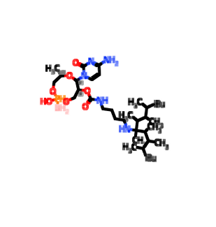 B[PH]1(O)OC[C@H](OC(=O)NCCCCNC(C)(C(C)C(C)C(C)C(C)CC)C(C)C(C)C(C)C(C)CC)[C@H](n2ccc(N)nc2=O)O[C@@H](C)CO1